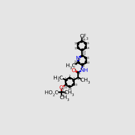 Cc1cc(C(C)C(=O)Nc2ccc(-c3ccc(C(F)(F)F)cc3)nc2C)ccc1OC(C)(C)C(=O)O